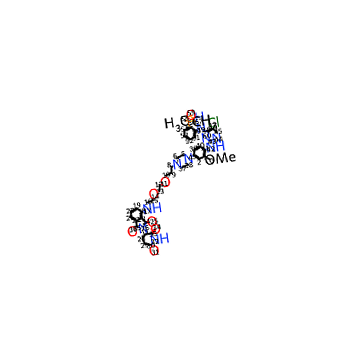 COc1cc(N2CCN(CCCOCCOCCNc3cccc4c3C(=O)N(C3CCC(=O)NC3=O)C4=O)CC2)ccc1Nc1ncc(Cl)c(Nc2ccccc2P(C)(C)=O)n1